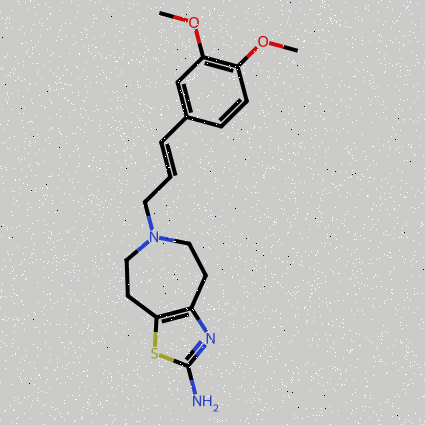 COc1ccc(C=CCN2CCc3nc(N)sc3CC2)cc1OC